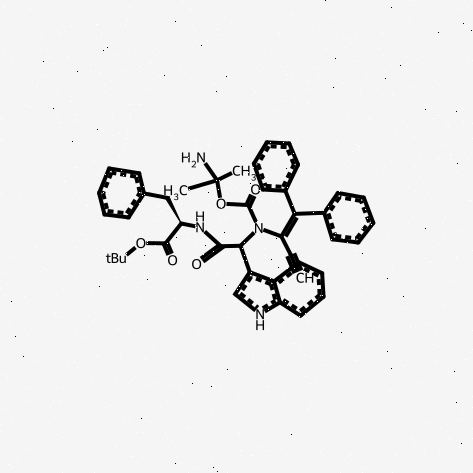 C#CC(=C(c1ccccc1)c1ccccc1)N(C(=O)OC(C)(C)N)C(C(=O)N[C@H](Cc1ccccc1)C(=O)OC(C)(C)C)c1c[nH]c2ccccc12